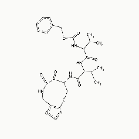 CC(C)C(NC(=O)OCc1ccccc1)C(=O)NC(C(=O)NC1CCc2ncoc2CNC(=O)C1=O)C(C)C